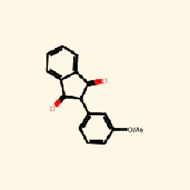 COc1cccc(C2C(=O)c3ccccc3C2=O)c1